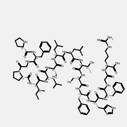 CC[C@H](C)[C@H](NC(=O)[C@@H]1CCCN1C(=O)CNC(=O)[C@H](Cc1ccccc1)NC(=O)[C@@H]1CCCN1)C(=O)N[C@@H](CC(C)C)C(=O)N[C@@H](CO)C(=O)N[C@@H](CC(C)C)C(=O)N[C@@H](CC(C)C)C(=O)N[C@H](C(=O)N[C@@H](CS)C(=O)N[C@@H](Cc1ccccc1)C(=O)N[C@@H](Cc1c[nH]cn1)C(=O)N[C@@H](Cc1ccccc1)C(=O)NCC(=O)N[C@@H](CCCNC(=N)N)C(=O)O)[C@@H](C)O